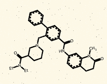 CCN(CC)C(=O)C1CCCN(Cc2cc(C(=O)Nc3ccc4c(c3)N(C)C(=O)CC4)ccc2-c2ccccc2)C1